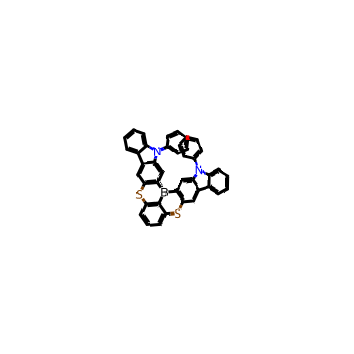 c1ccc(-n2c3ccccc3c3cc4c(cc32)B2c3cc5c(cc3Sc3cccc(c32)S4)c2ccccc2n5-c2ccccc2)cc1